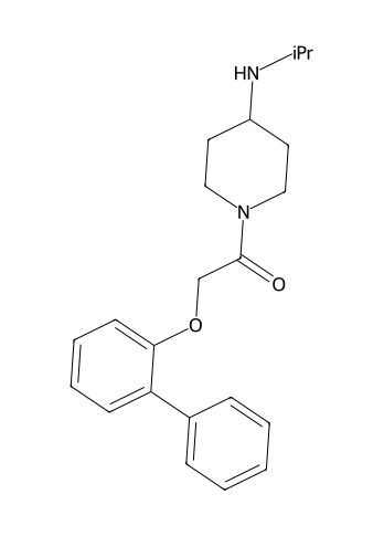 CC(C)NC1CCN(C(=O)COc2ccccc2-c2ccccc2)CC1